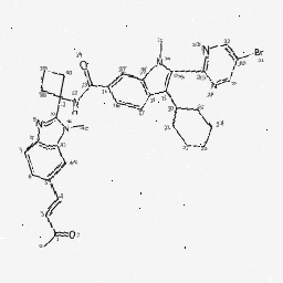 CC(=O)/C=C/c1ccc2nc(C3(NC(=O)c4ccc5c(C6CCCCC6)c(-c6ncc(Br)cn6)n(C)c5c4)CCC3)n(C)c2c1